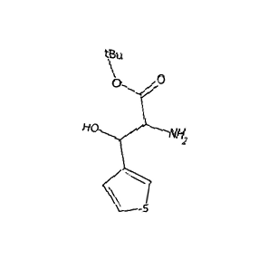 CC(C)(C)OC(=O)C(N)C(O)c1ccsc1